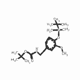 COc1cc(CNC(=O)OC(C)(C)C)ccc1O[Si](C)(C)C(C)(C)C